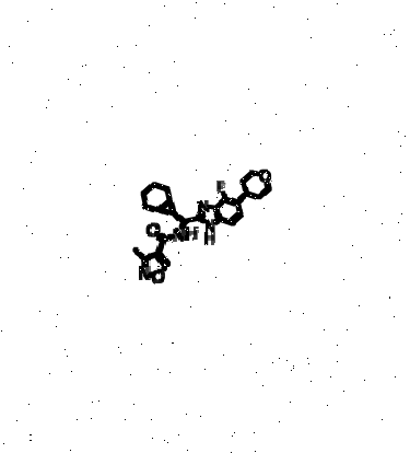 Cc1nocc1C(=O)NC(c1nc2c(F)c(C3CCOCC3)ccc2[nH]1)C1C2CCCCC21